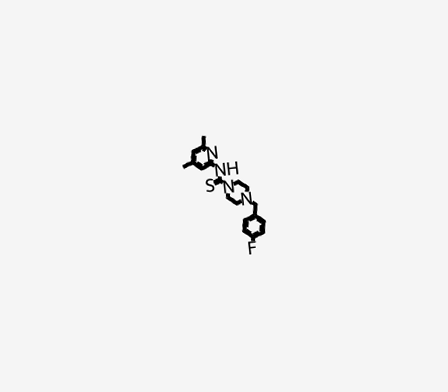 Cc1cc(C)nc(NC(=S)N2CCN(Cc3ccc(F)cc3)CC2)c1